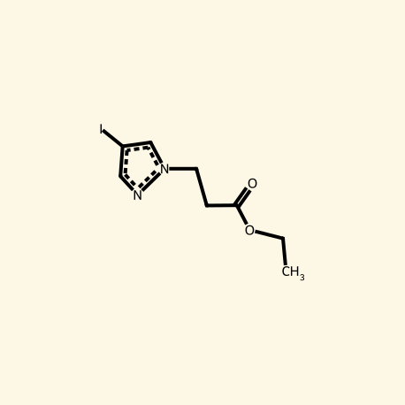 CCOC(=O)CCn1cc(I)cn1